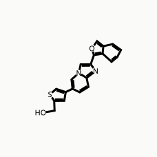 OCc1cc(-c2ccc3nc(-c4occ5ccccc45)cn3c2)cs1